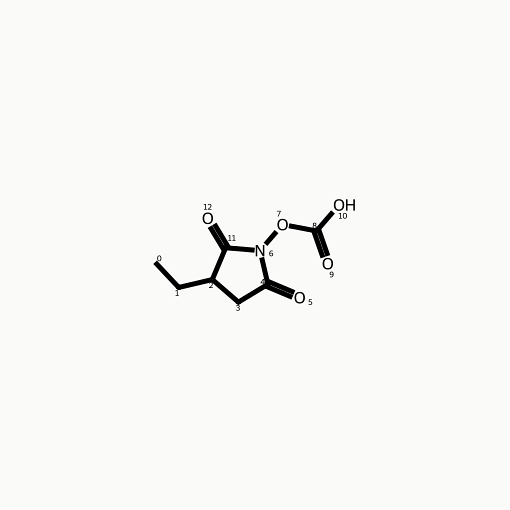 CCC1CC(=O)N(OC(=O)O)C1=O